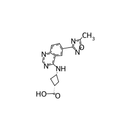 Cc1nc(-c2ccc3ncnc(N[C@H]4C[C@@H](C(=O)O)C4)c3c2)no1